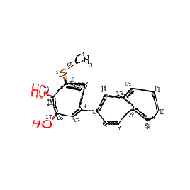 CSc1cc(-c2ccc3ccccc3c2)cc(O)c1O